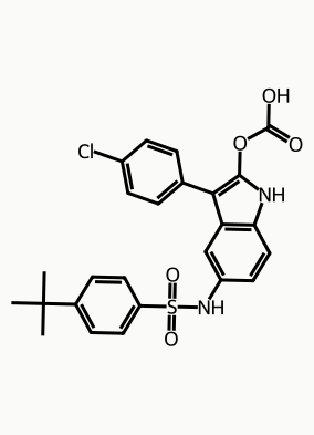 CC(C)(C)c1ccc(S(=O)(=O)Nc2ccc3[nH]c(OC(=O)O)c(-c4ccc(Cl)cc4)c3c2)cc1